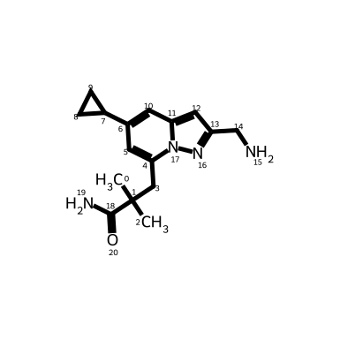 CC(C)(Cc1cc(C2CC2)cc2cc(CN)nn12)C(N)=O